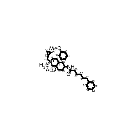 COc1cccc([C@@]23CC[N@+](C)(CC4CC4)CC2(OC(C)=O)CC[C@@H](NC(=O)CCCCCc2ccccc2)C3)c1